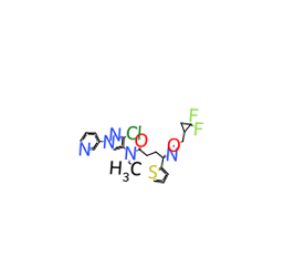 CCN(C(=O)CC/C(=N\OCC1CC1(F)F)c1cccs1)c1cn(-c2cccnc2)nc1Cl